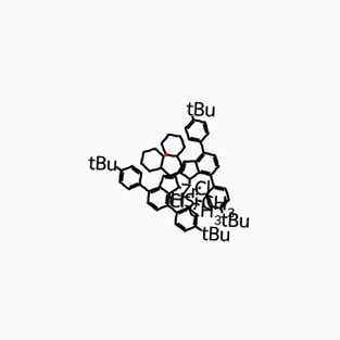 C[SiH](C)[Zr]([Cl])([Cl])([CH]1C(CC2CCCCC2)=Cc2c(-c3ccc(C(C)(C)C)cc3)ccc(-c3ccc(C(C)(C)C)cc3)c21)[CH]1C(CC2CCCCC2)=Cc2c(-c3ccc(C(C)(C)C)cc3)ccc(-c3ccc(C(C)(C)C)cc3)c21